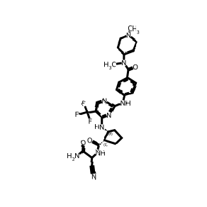 CN1CCC(N(C)C(=O)c2ccc(Nc3ncc(C(F)(F)F)c(N[C@@H]4CCC[C@@H]4C(=O)NC(C#N)C(N)=O)n3)cc2)CC1